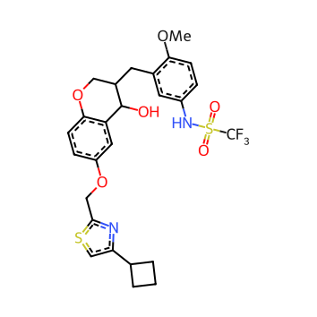 COc1ccc(NS(=O)(=O)C(F)(F)F)cc1CC1COc2ccc(OCc3nc(C4CCC4)cs3)cc2C1O